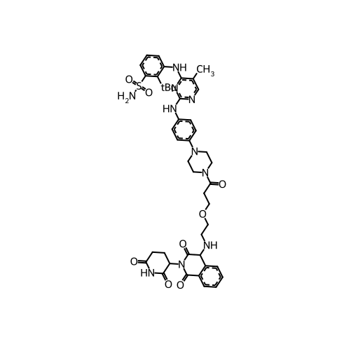 Cc1cnc(Nc2ccc(N3CCN(C(=O)CCOCCNC4C(=O)N(C5CCC(=O)NC5=O)C(=O)c5ccccc54)CC3)cc2)nc1Nc1cccc(S(N)(=O)=O)c1C(C)(C)C